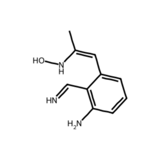 C/C(=C/c1cccc(N)c1C=N)NO